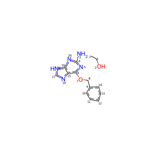 CCO.Nc1nc(OCc2ccccc2)c2nc[nH]c2n1